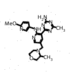 COc1ccc(Nc2ncc(CN3CCOCC3C)cc2-c2nc(C)nc(N)n2)cn1